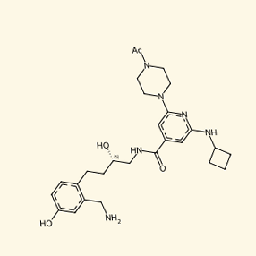 CC(=O)N1CCN(c2cc(C(=O)NC[C@@H](O)CCc3ccc(O)cc3CN)cc(NC3CCC3)n2)CC1